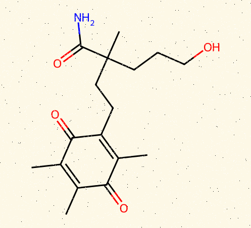 CC1=C(C)C(=O)C(CCC(C)(CCCO)C(N)=O)=C(C)C1=O